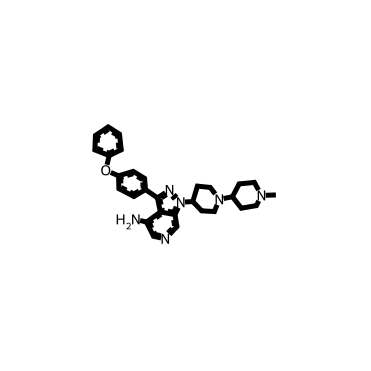 CN1CCC(N2CCC(n3nc(-c4ccc(Oc5ccccc5)cc4)c4c(N)cncc43)CC2)CC1